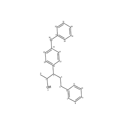 CC(O)C(CCc1ccccc1)c1ccc(Oc2ccccc2)cc1